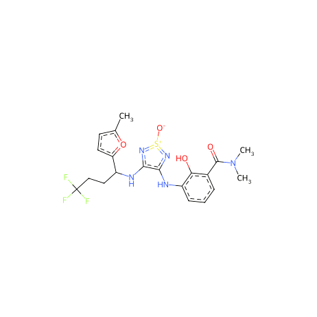 Cc1ccc(C(CCC(F)(F)F)Nc2n[s+]([O-])nc2Nc2cccc(C(=O)N(C)C)c2O)o1